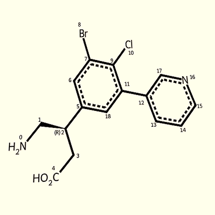 NC[C@H](CC(=O)O)c1cc(Br)c(Cl)c(-c2cccnc2)c1